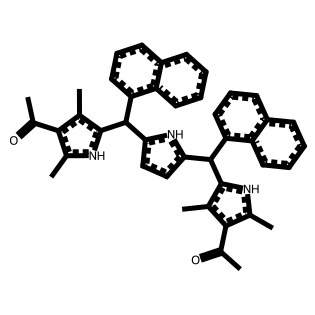 CC(=O)c1c(C)[nH]c(C(c2ccc(C(c3[nH]c(C)c(C(C)=O)c3C)c3cccc4ccccc34)[nH]2)c2cccc3ccccc23)c1C